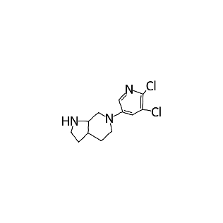 Clc1cc(N2CCC3CCNC3C2)cnc1Cl